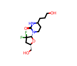 O=C1NC(CCCO)CCN1[C@@H]1O[C@H](CO)CC1(F)F